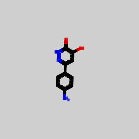 Nc1ccc(-c2cc(O)c(=O)[nH]n2)cc1